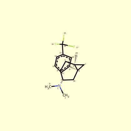 CN(C)[C@@H]1CC[C@H]2C[C@@]2(c2cccc(C(F)(F)F)c2)C1